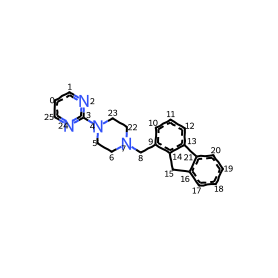 c1cnc(N2CCN(Cc3cccc4c3Cc3ccccc3-4)CC2)nc1